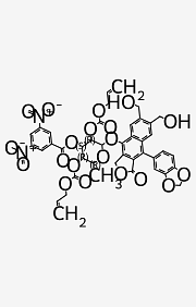 C=CCOC(=O)O[C@H]1[C@H](OC(=O)c2cc([N+](=O)[O-])cc([N+](=O)[O-])c2)[C@@H](OC(=O)OCC=C)C(Oc2c3c(c(-c4ccc5c(c4)OCO5)c4cc(CO)c(CO)cc24)C(=O)OC3)O[C@@H]1C